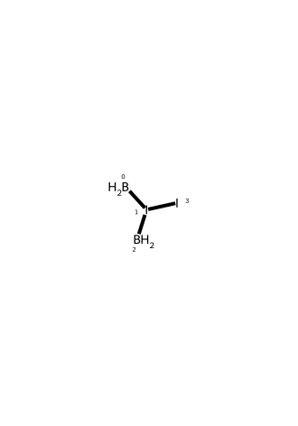 BI(B)I